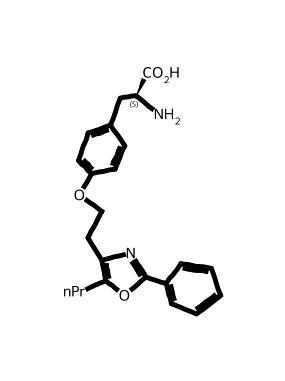 CCCc1oc(-c2ccccc2)nc1CCOc1ccc(C[C@H](N)C(=O)O)cc1